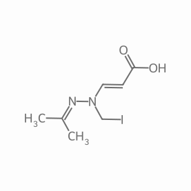 CC(C)=NN(C=CC(=O)O)CI